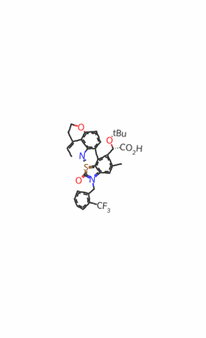 C=Nc1c(-c2c([C@H](OC(C)(C)C)C(=O)O)c(C)cc3c2sc(=O)n3Cc2ccccc2C(F)(F)F)ccc2c1/C(=C\C)CCO2